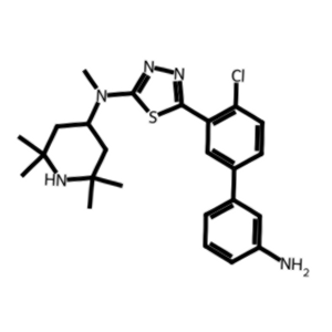 CN(c1nnc(-c2cc(-c3cccc(N)c3)ccc2Cl)s1)C1CC(C)(C)NC(C)(C)C1